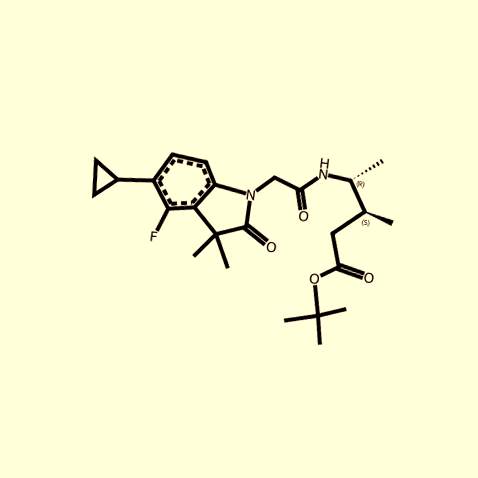 C[C@@H](CC(=O)OC(C)(C)C)[C@@H](C)NC(=O)CN1C(=O)C(C)(C)c2c1ccc(C1CC1)c2F